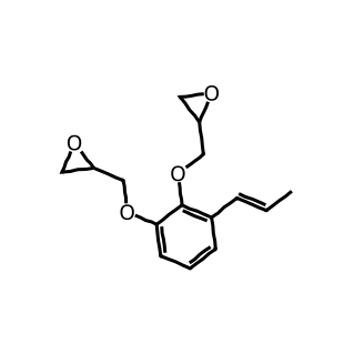 CC=Cc1cccc(OCC2CO2)c1OCC1CO1